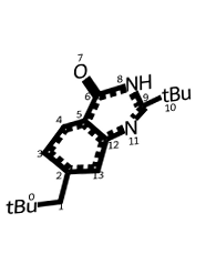 CC(C)(C)Cc1ccc2c(=O)[nH]c(C(C)(C)C)nc2c1